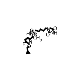 C[C@@H](NS(=O)(=O)CCCCCN1CC(=O)NC1=O)c1ccc(F)c(OCC2CC2)n1